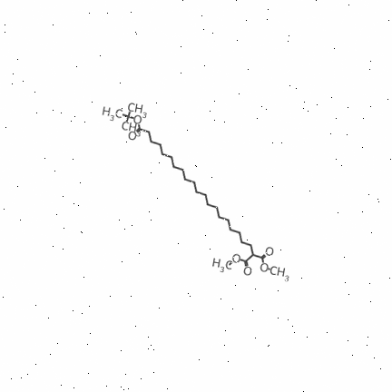 COC(=O)C(CCCCCCCCCCCCCCCCCCCC(=O)OC(C)(C)C)C(=O)OC